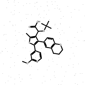 COc1cc(-c2sc(C)c(C(OC(C)(C)C)C(=O)O)c2-c2ccc3c(c2)CCCO3)ccn1